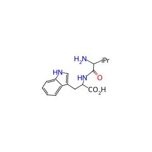 CC(C)C(N)C(=O)NC(Cc1c[nH]c2ccccc12)C(=O)O